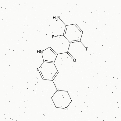 Nc1ccc(F)c(C(=O)c2c[nH]c3ncc(N4CCOCC4)cc23)c1F